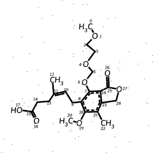 COCCOCOc1c(CC=C(C)CCC(=O)O)c(OC)c(C)c2c1C(=O)OC2